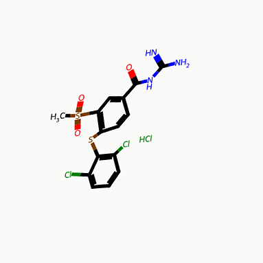 CS(=O)(=O)c1cc(C(=O)NC(=N)N)ccc1Sc1c(Cl)cccc1Cl.Cl